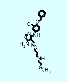 COCCNCCCON=Cc1c(N)ncnc1Nc1ccc(OCc2ccccc2)c(Cl)c1